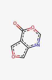 O=c1ocnc2cocc12